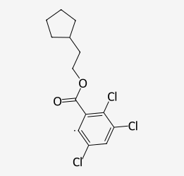 O=C(OCCC1CCCC1)c1[c]c(Cl)cc(Cl)c1Cl